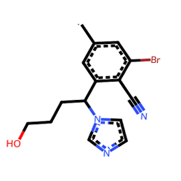 [CH2]c1cc(Br)c(C#N)c(C(CCCO)n2ccnc2)c1